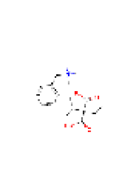 CCC(C(=O)O)(C(=O)O)C(C)C.C[N+](C)(C)Cc1ccccc1